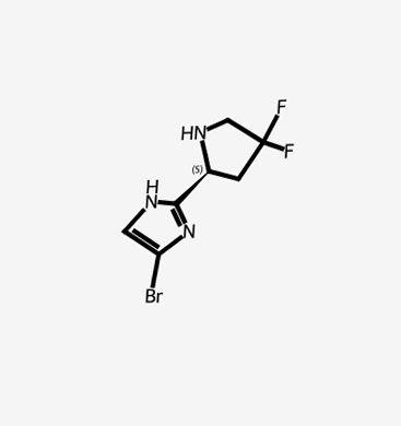 FC1(F)CN[C@H](c2nc(Br)c[nH]2)C1